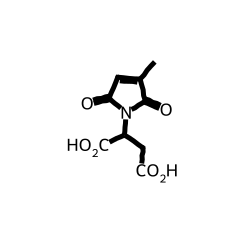 CC1=CC(=O)N(C(CC(=O)O)C(=O)O)C1=O